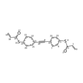 C=CC(=O)Sc1ccc(C#Cc2ccc(SC(=O)C=C)cc2)cc1